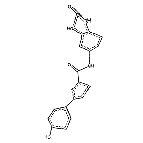 O=C(Nc1ccc2[nH]c(=O)[nH]c2c1)c1ccc(-c2ccc(O)cc2)s1